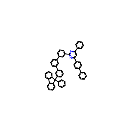 c1ccc(-c2ccc(-c3cc(-c4ccccc4)nc(-c4cccc(-c5cccc(-c6cccc(C7(c8ccccc8)c8ccccc8-c8ccccc87)c6)c5)c4)n3)cc2)cc1